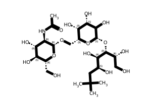 CC(=O)N[C@H]1[C@H](OC[C@H]2O[C@@H](O[C@@H]([C@H](O)[C@@H](O)CC(C)(C)C)[C@H](O)CO)C(O)[C@@H](O)[C@H]2O)O[C@H](CO)[C@@H](O)[C@@H]1O